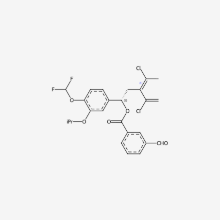 C=C(Cl)/C(C[C@H](OC(=O)c1cccc(C=O)c1)c1ccc(OC(F)F)c(OC(C)C)c1)=C(\C)Cl